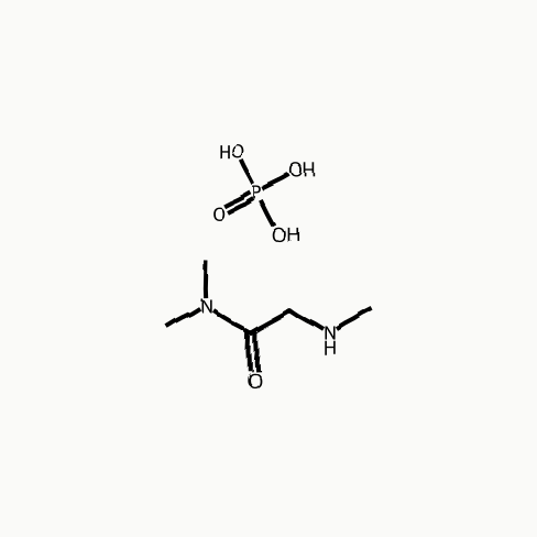 CNCC(=O)N(C)C.O=P(O)(O)O